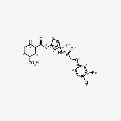 CCOC(=O)C1CCNC(C(=O)NC23CC(C2)[C@@H](NC(=O)COc2ccc(Cl)c(F)c2)C3)C1